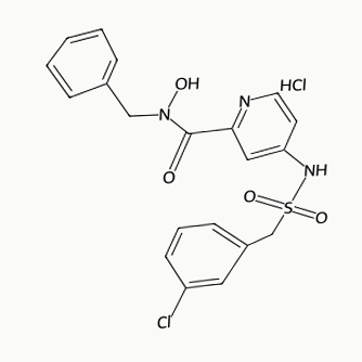 Cl.O=C(c1cc(NS(=O)(=O)Cc2cccc(Cl)c2)ccn1)N(O)Cc1ccccc1